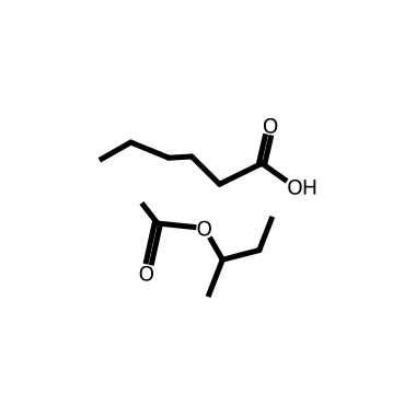 CCC(C)OC(C)=O.CCCCCC(=O)O